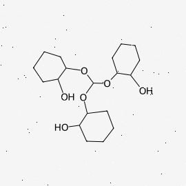 OC1CCCCC1OC(OC1CCCCC1O)OC1CCCCC1O